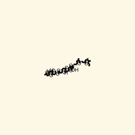 C=C1C(CC)OC(CC[C@@H]2OC(CC[C@@]34C[C@@]5(O)OC6C(OC7CCC(CC(=O)OC8CO[C@H]9C[C@H]%10OC(C)CC%10OC9C8)O[C@@H]7C6O3)C5O4)CC2=C)C[C@H]1C